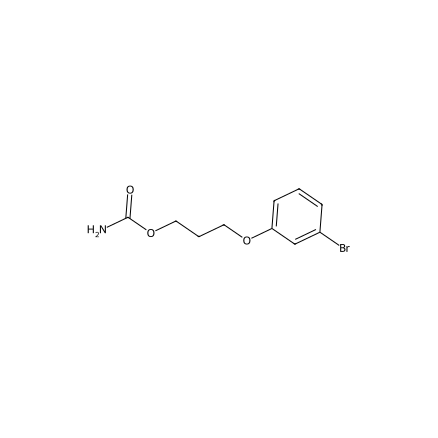 NC(=O)OCCCOc1cccc(Br)c1